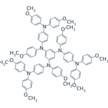 COc1ccc(N(c2ccc(OC)cc2)c2ccc(N(c3ccc(OC)cc3)c3cc(N(c4ccc(OC)cc4)c4ccc(N(c5ccc(OC)cc5)c5ccc(OC)cc5)cc4)cc(N(c4ccc(OC)cc4)c4ccc(N(c5ccc(OC)cc5)c5ccc(OC)cc5)cc4)c3)cc2)cc1